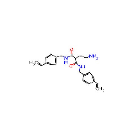 C=Cc1ccc(CNC(=O)C(CCN)C(=O)NCc2ccc(C=C)cc2)cc1